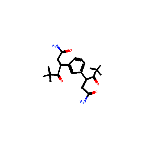 CC(C)(C)C(=O)C(CC(N)=O)c1cccc(C(CC(N)=O)C(=O)C(C)(C)C)c1